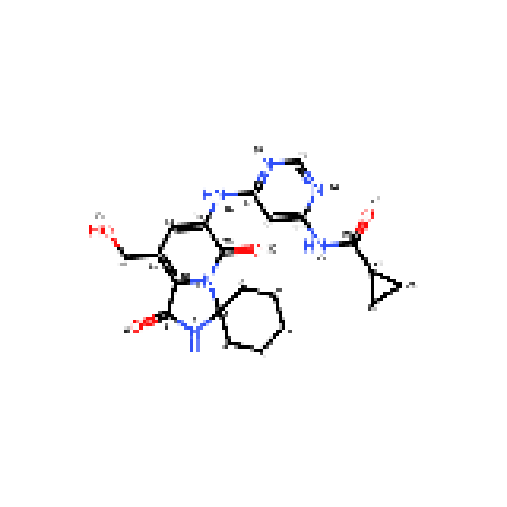 O=C1NC2(CCCCC2)n2c1c(CO)cc(Nc1cc(NC(=O)C3CC3)ncn1)c2=O